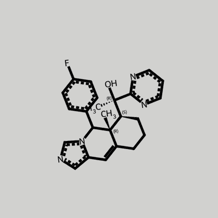 C[C@](O)(c1ncccn1)[C@H]1CCCC2=Cc3cncn3C(c3ccc(F)cc3)[C@@]21C